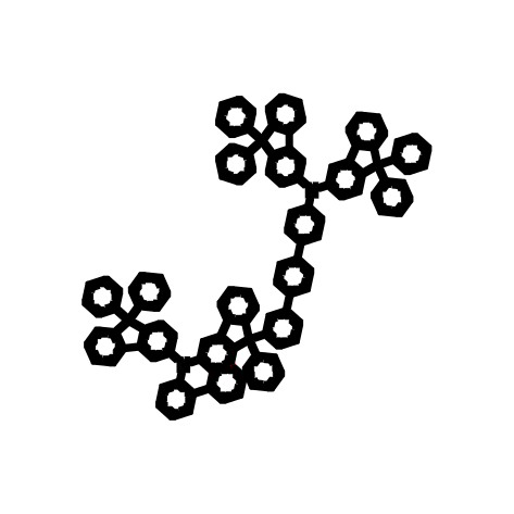 c1ccc(-c2ccccc2N(c2ccc3c(c2)-c2ccccc2C3(c2ccccc2)c2ccccc2)c2ccc3c(c2)-c2ccccc2C3(c2ccccc2)c2cccc(-c3ccc(-c4ccc(N(c5ccc6c(c5)-c5ccccc5C6(c5ccccc5)c5ccccc5)c5ccc6c(c5)-c5ccccc5C6(c5ccccc5)c5ccccc5)cc4)cc3)c2)cc1